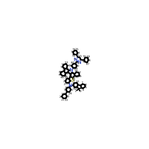 CC1(C)c2ccccc2-c2ccc(N(c3ccc(-c4ccccc4)cc3)c3cccc4c3sc3c5ccccc5c5c(c43)c3c4ccccc4c4ccccc4c3n5-c3ccc(-c4nc(-c5ccccc5)cc(-c5ccccc5)n4)cc3)cc21